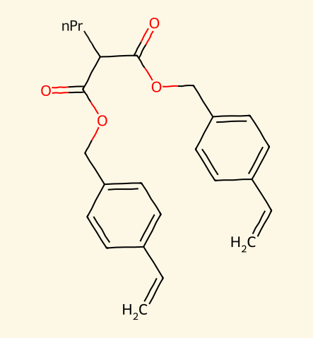 C=Cc1ccc(COC(=O)C(CCC)C(=O)OCc2ccc(C=C)cc2)cc1